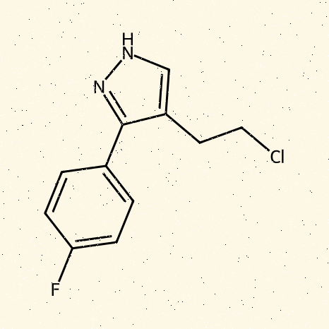 Fc1ccc(-c2n[nH]cc2CCCl)cc1